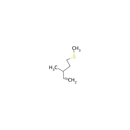 C=CC(C)CCSC